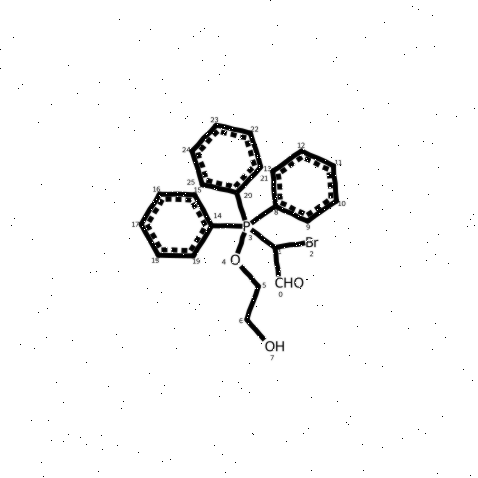 O=CC(Br)P(OCCO)(c1ccccc1)(c1ccccc1)c1ccccc1